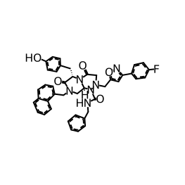 O=C1[C@H](Cc2ccc(O)cc2)N2C(=O)CN(Cc3cc(-c4ccc(F)cc4)no3)N(C(=O)NCc3ccccc3)[C@H]2CN1Cc1cccc2ccccc12